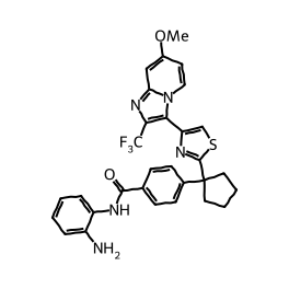 COc1ccn2c(-c3csc(C4(c5ccc(C(=O)Nc6ccccc6N)cc5)CCCC4)n3)c(C(F)(F)F)nc2c1